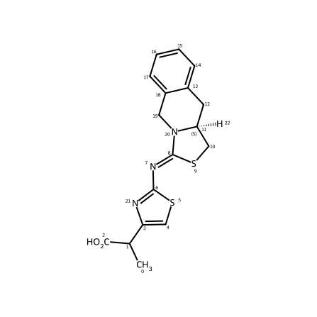 CC(C(=O)O)c1csc(N=C2SC[C@@H]3Cc4ccccc4CN23)n1